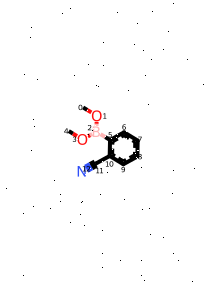 COB(OC)c1ccccc1C#N